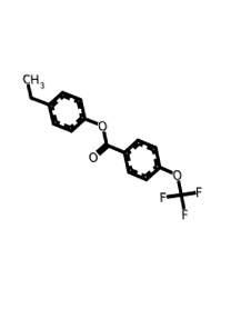 CCc1ccc(OC(=O)c2ccc(OC(F)(F)F)cc2)cc1